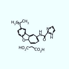 CN(C)c1ccc2c(c1)C1=CC(NC(=O)c3ncc[nH]3)=CC=CC1O2.O=C(O)CC(=O)O